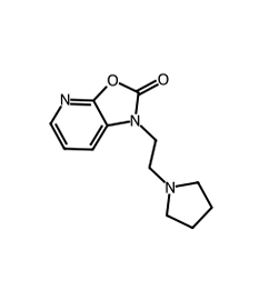 O=c1oc2ncccc2n1CCN1CCCC1